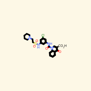 O=C(O)c1cn(C(=O)Nc2cc(Cl)cc(NS(=O)(=O)CCN3CCCCC3)c2)c2ccccc2c1=O